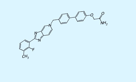 Cc1cccc(-c2nc3ccn(Cc4ccc(-c5ccc(OCC(N)=O)cc5)cc4)cc-3n2)c1F